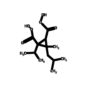 CC(C)CC1(C)C(C(=O)OO)C1(C(=O)OO)C(C)C